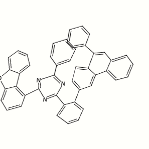 c1ccc(-c2nc(-c3ccccc3-c3ccc4c(-c5ccccc5)cc5ccccc5c4c3)nc(-c3cccc4oc5ccccc5c34)n2)cc1